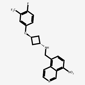 O=[N+]([O-])c1ccc(CN[C@H]2C[C@H](Oc3ccc(F)c(C(F)(F)F)c3)C2)c2ccncc12